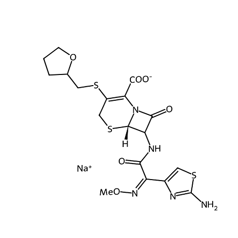 CO/N=C(\C(=O)NC1C(=O)N2C(C(=O)[O-])=C(SCC3CCCO3)CS[C@@H]12)c1csc(N)n1.[Na+]